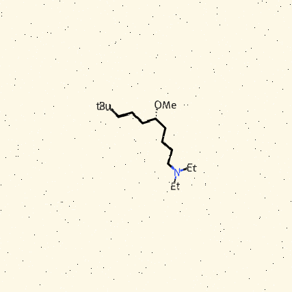 CCN(CC)CCCC[C@H](CCCC(C)(C)C)OC